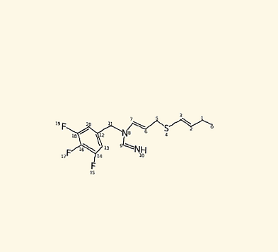 CC/C=C/SC/C=C/N(C=N)Cc1cc(F)c(F)c(F)c1